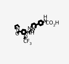 O=C(O)Nc1ccc(-c2ccc3nc(Nc4ccc(C(=O)N5CCCC5)cc4OCC(F)(F)F)nn3c2)cc1